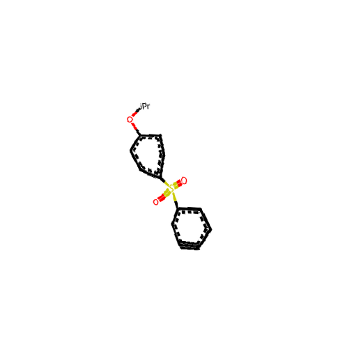 CC(C)Oc1ccc(S(=O)(=O)c2cc#ccc2)cc1